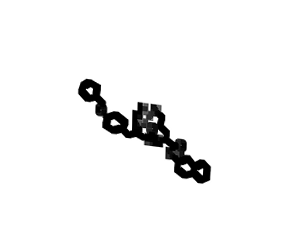 NCCCC(NC(=O)CC(N)Cc1ccc(OCc2ccccc2)cc1)C(=O)Nc1ccc2ccccc2c1